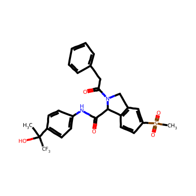 CC(O)(c1ccc(NC(=O)C2c3ccc(S(C)(=O)=O)cc3CN2C(=O)Cc2ccccc2)cc1)C(F)(F)F